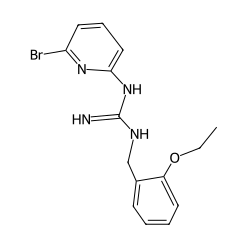 CCOc1ccccc1CNC(=N)Nc1cccc(Br)n1